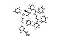 [Cl][Au].c1ccc(P(CCCP(c2ccccn2)c2ccccn2)c2ccccn2)nc1.c1ccc(P(CCCP(c2ccccn2)c2ccccn2)c2ccccn2)nc1